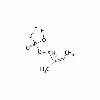 CC=C(C)[SiH2]OP(=O)(OF)OF